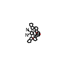 N#Cc1c(C#N)c(-c2ccc3ccccc3c2)c(-n2c3ccccc3c3ccccc32)c(-n2c3ccccc3c3ccccc32)c1-c1ccc2ccccc2c1